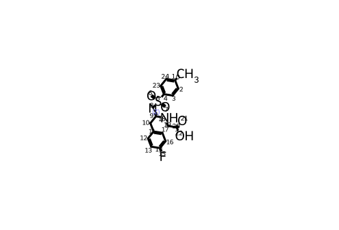 Cc1ccc(S(=O)(=O)/N=C(/Cc2ccc(F)cc2)NCC(=O)O)cc1